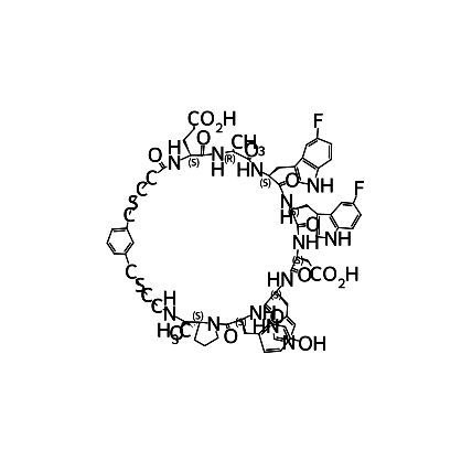 C[C@H]1NC(=O)[C@H](CCC(=O)O)NC(=O)CCSCc2cccc(c2)CSCCNC(=O)[C@]2(C)CCCN2C(=O)[C@H](Cc2ccc(O)cc2)NC(=O)[C@H](Cc2cnc[nH]2)NC(=O)[C@H](CC(=O)O)NC(=O)[C@H](Cc2c[nH]c3ccc(F)cc23)NC(=O)[C@H](Cc2c[nH]c3ccc(F)cc23)NC1=O